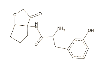 NC(Cc1cccc(O)c1)C(=O)NC12CCCC1OCC2=O